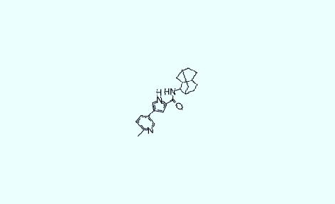 Cc1ccc(-c2c[nH]c(C(=O)NC3C4CCC5CCC(C4)CC53)c2)cn1